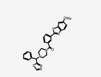 COc1ccc2nc(-c3cccc(C(=O)N4CCN(C(c5ccccc5)c5nncs5)CC4)c3)sc2c1